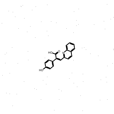 O=C(O)C(=Cc1ccc2ccccc2n1)c1ccc(O)cc1